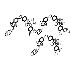 O=C(Nc1ccc(Oc2ccc3ncc(CN4CCOCC4)nc3c2)cc1)Nc1ccc(Cl)c(C(F)(F)F)c1.O=C(Nc1ccc(Oc2ccc3ncc(CN4CCOCC4)nc3c2)cc1)Nc1ccc(Cl)c(F)c1.O=C(Nc1ccc(Oc2ccc3ncc(CN4CCOCC4)nc3c2)cc1)Nc1ccc(F)c(F)c1